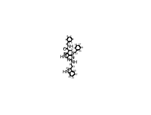 O=C(NCc1ccccc1)C1CN(Cc2ccccc2)c2nc(NCCC3CNc4ccccc43)nc3[nH]nc1c23